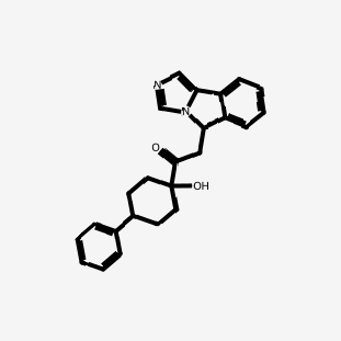 O=C(CC1c2ccccc2-c2cncn21)C1(O)CCC(c2ccccc2)CC1